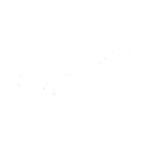 CCN(CC(=O)OCCOCCOCCOCCOCCO)c1ccc(N)c(C)c1